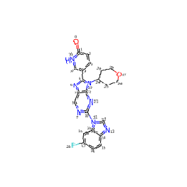 O=c1ccc(-c2nc3cnc(-n4cnc5ccc(F)cc54)nc3n2C2CCOCC2)c[nH]1